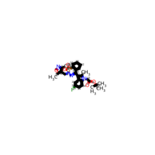 Cc1noc(C)c1CN1N=C(c2c(C)n(CC(=O)OC(C)(C)C)c3ccc(F)cc23)c2ccccc2S1(=O)=O